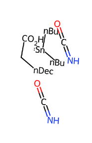 CCCCCCCCCCCC(=O)O.CCC[CH2][Sn][CH2]CCC.N=C=O.N=C=O